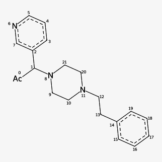 CC(=O)C(c1cccnc1)N1CCN(CCc2ccccc2)CC1